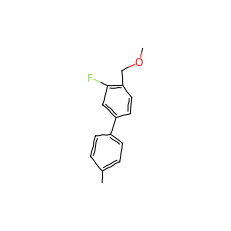 COCc1ccc(-c2ccc(C)cc2)cc1F